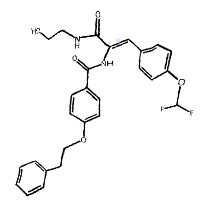 O=C(NCCO)/C(=C/c1ccc(OC(F)F)cc1)NC(=O)c1ccc(OCCc2ccccc2)cc1